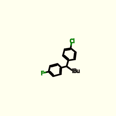 CCC(C)C(c1ccc(F)cc1)c1ccc(Cl)cc1